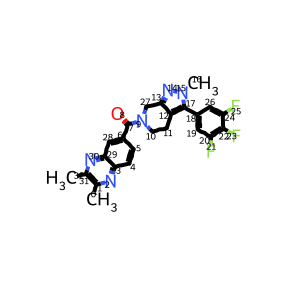 Cc1nc2ccc(C(=O)N3CCc4c(nn(C)c4-c4cc(F)c(F)c(F)c4)C3)cc2nc1C